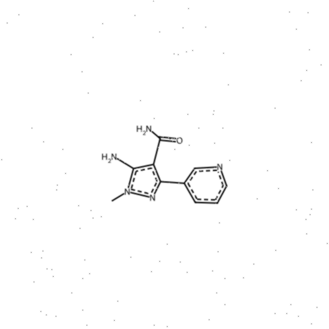 Cn1nc(-c2cccnc2)c(C(N)=O)c1N